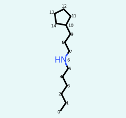 CCCCCCNCCCC1CCCC1